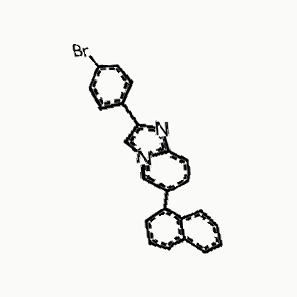 Brc1ccc(-c2cn3cc(-c4cccc5ccccc45)ccc3n2)cc1